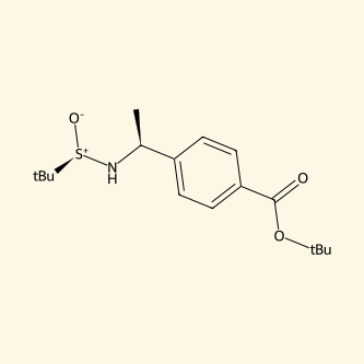 C[C@H](N[S@+]([O-])C(C)(C)C)c1ccc(C(=O)OC(C)(C)C)cc1